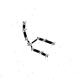 [N-]=[N+]=[N][Sb]([N]=[N+]=[N-])[N]=[N+]=[N-]